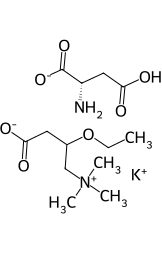 CCOC(CC(=O)[O-])C[N+](C)(C)C.N[C@@H](CC(=O)O)C(=O)[O-].[K+]